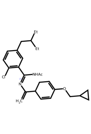 C=C(/N=C(\NC(C)=O)c1cc(CC(CC)CC)ccc1Cl)C1C=CC(OCC2CC2)=CC1